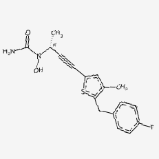 Cc1cc(C#C[C@@H](C)N(O)C(N)=O)sc1Cc1ccc(F)cc1